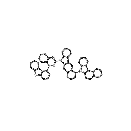 c1cc(-n2c3ccccc3c3c4ccccc4ccc32)c2cc3c4ccccc4n(-c4nc(-c5cccc6sc7ccccc7c56)c5ccccc5n4)c3cc2c1